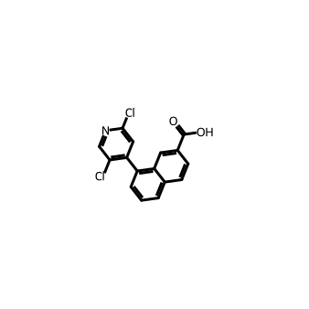 O=C(O)c1ccc2cccc(-c3cc(Cl)ncc3Cl)c2c1